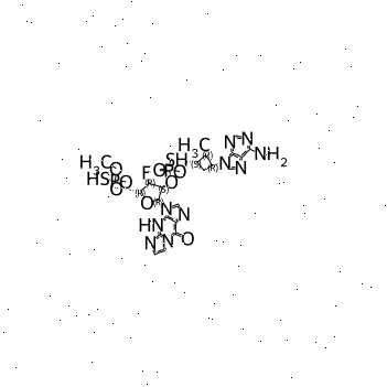 COP(=O)(S)OC[C@H]1O[C@@H](n2cnc3c(=O)n4ccnc4[nH]c32)[C@H](OP(=O)(S)OC[C@H]2C[C@@H](n3cnc4c(N)ncnc43)[C@@H]2C)[C@@H]1F